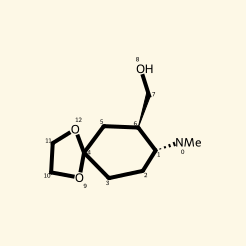 CN[C@@H]1CCC2(C[C@H]1CO)OCCO2